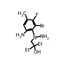 CCC(O)(CC)CN(N)c1c(N)cc(C)c(F)c1Br